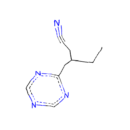 CCC(C#N)c1ncncn1